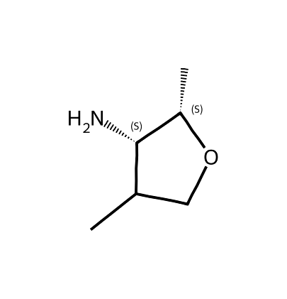 CC1CO[C@@H](C)[C@H]1N